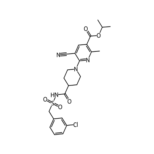 Cc1nc(N2CCC(C(=O)NS(=O)(=O)Cc3cccc(Cl)c3)CC2)c(C#N)cc1C(=O)OC(C)C